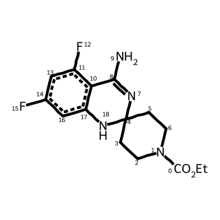 CCOC(=O)N1CCC2(CC1)N=C(N)c1c(F)cc(F)cc1N2